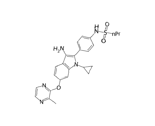 CCCS(=O)(=O)Nc1ccc(-c2c(N)c3ccc(Oc4nccnc4C)cc3n2C2CC2)cc1